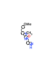 COc1ccc(Cc2ccc3c4cnn(Cc5cccc6[nH]ncc56)c(=O)c4n(C)c3c2)cc1